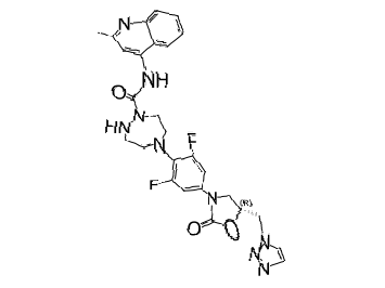 Cc1cc(NC(=O)N2CCN(c3c(F)cc(N4C[C@H](Cn5ccnn5)OC4=O)cc3F)CCN2)c2ccccc2n1